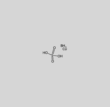 B.O=S(=O)(O)O.[Cu]